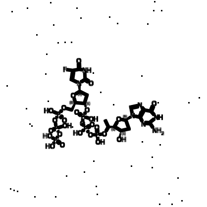 CC(OP(=O)(O)OP(=O)(O)OP(=O)(O)O[C@H]1C[C@H](n2cc(F)c(=O)[nH]c2=O)O[C@@H]1COP(=O)(O)OP(=O)(O)OP(=O)(O)O)[C@H]1O[C@@H](n2cnc3c(=O)[nH]c(N)nc32)C[C@@H]1O